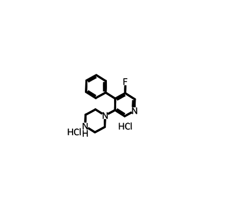 Cl.Cl.Fc1cncc(N2CCNCC2)c1-c1ccccc1